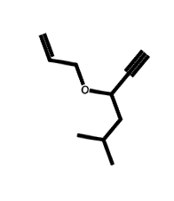 C#CC(CC(C)C)OCC=C